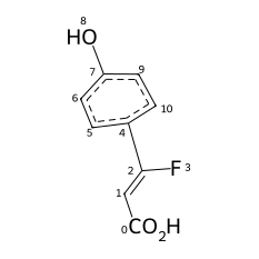 O=C(O)C=C(F)c1ccc(O)cc1